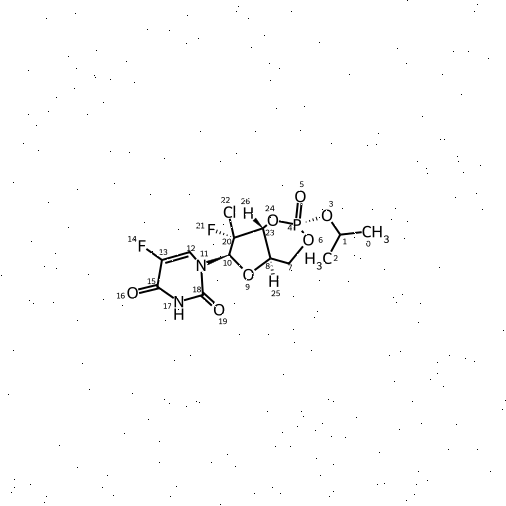 CC(C)O[P@]1(=O)OC[C@H]2O[C@@H](n3cc(F)c(=O)[nH]c3=O)[C@@](F)(Cl)[C@@H]2O1